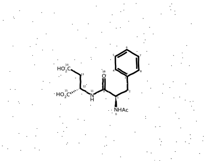 CC(=O)N[C@H](Cc1ccccc1)C(=O)N[C@@H](CC(=O)O)C(=O)O